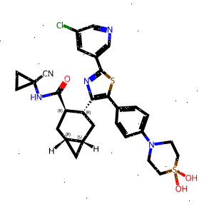 N#CC1(NC(=O)[C@@H]2C[C@H]3C[C@H]3C[C@H]2c2nc(-c3cncc(Cl)c3)sc2-c2ccc(N3CCS(O)(O)CC3)cc2)CC1